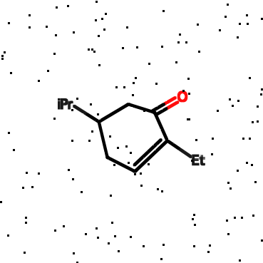 CCC1=CCC(C(C)C)CC1=O